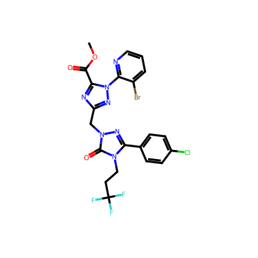 COC(=O)c1nc(Cn2nc(-c3ccc(Cl)cc3)n(CCC(F)(F)F)c2=O)nn1-c1ncccc1Br